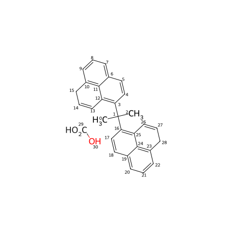 CC(C)(c1ccc2cccc3c2c1C=CC3)c1ccc2cccc3c2c1C=CC3.O=C(O)O